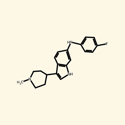 CN1CCC(c2c[nH]c3cc(Nc4ccc(F)cc4)ccc23)CC1